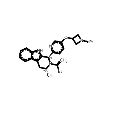 C=C(CC)N1[C@H](c2ccc(OC3CN(CCC)C3)cn2)c2[nH]c3ccccc3c2C[C@H]1C